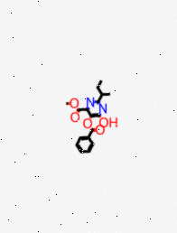 CCC(C)c1nc(O)c(OC(=O)c2ccccc2)c(C(=O)OC)n1